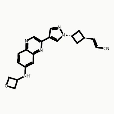 N#CC=C[C@H]1C[C@H](n2cc(-c3cnc4ccc(NC5COC5)cc4n3)cn2)C1